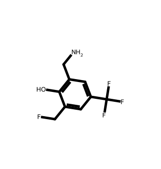 NCc1cc(C(F)(F)F)cc(CF)c1O